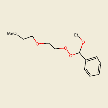 CCOC(OOCCOCCOC)c1ccccc1